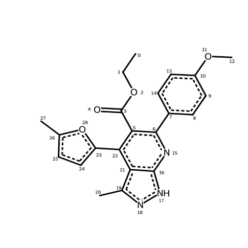 CCOC(=O)c1c(-c2ccc(OC)cc2)nc2[nH]nc(C)c2c1-c1ccc(C)o1